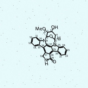 CO[C@H]1[C@@H](O)C[C@@H]2O[C@@]1(C)n1c3ccccc3c3c4c(c5c6ccccc6n2c5c31)C(=O)NC4